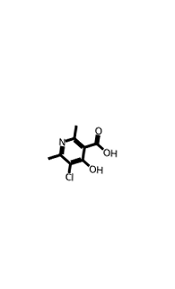 Cc1nc(C)c(C(=O)O)c(O)c1Cl